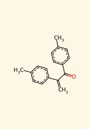 C=C(C(=O)c1ccc(C)cc1)c1ccc(C)cc1